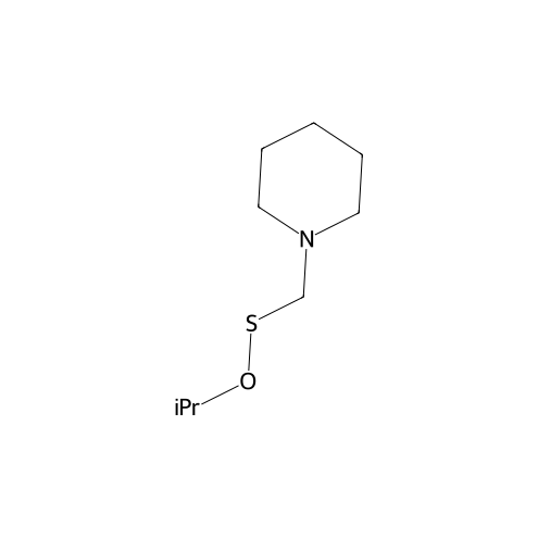 CC(C)OSCN1CCCCC1